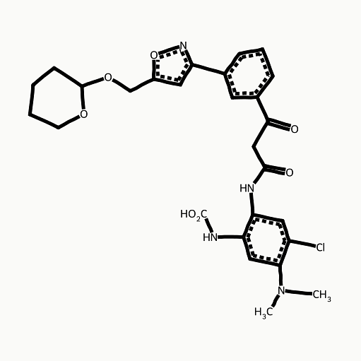 CN(C)c1cc(NC(=O)O)c(NC(=O)CC(=O)c2cccc(-c3cc(COC4CCCCO4)on3)c2)cc1Cl